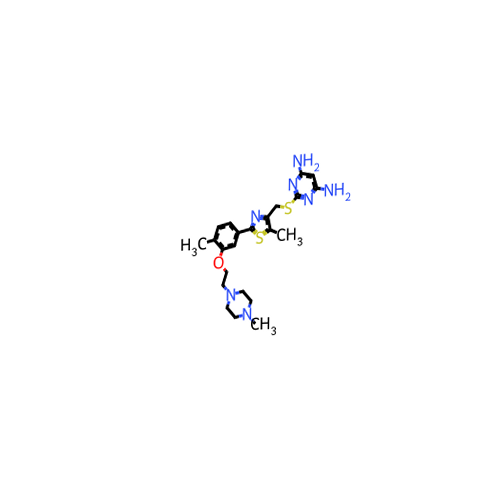 Cc1ccc(-c2nc(CSc3nc(N)cc(N)n3)c(C)s2)cc1OCCN1CCN(C)CC1